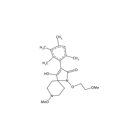 COCCON1C(=O)C(c2c(C)cc(C)c(C)c2C)=C(O)C12CCN(OC)CC2